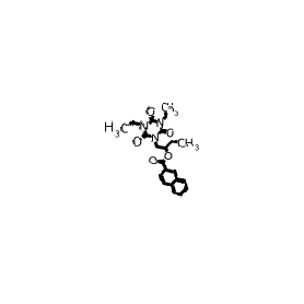 CCC(Cn1c(=O)n(CC)c(=O)n(CC)c1=O)OC(=O)c1ccc2ccccc2c1